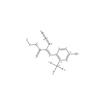 CCOC(=O)C(=Cc1ccc(Cl)cc1C(F)(F)F)N=[N+]=[N-]